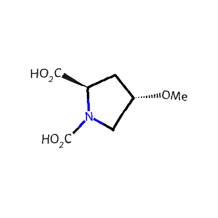 CO[C@H]1C[C@H](C(=O)O)N(C(=O)O)C1